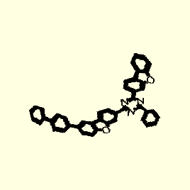 c1ccc(-c2ccc(-c3ccc4oc5cc(-c6nc(-c7ccccc7)nc(-c7ccc8c(c7)oc7ccccc78)n6)ccc5c4c3)cc2)cc1